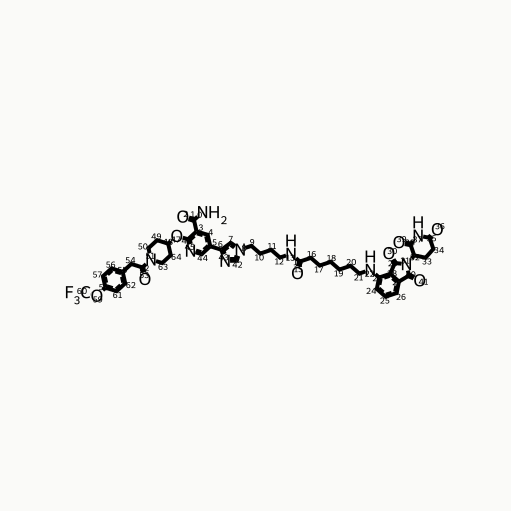 NC(=O)c1cc(-c2cn(CCCCNC(=O)CCCCCCNc3cccc4c3C(=O)N(C3CCC(=O)NC3=O)C4=O)cn2)cnc1OC1CCN(C(=O)Cc2ccc(OC(F)(F)F)cc2)CC1